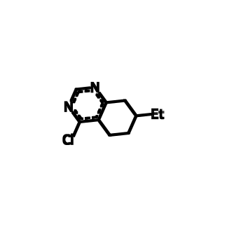 CCC1CCc2c(Cl)ncnc2C1